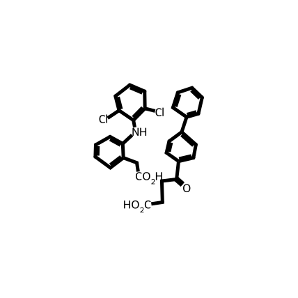 O=C(O)CCC(=O)c1ccc(-c2ccccc2)cc1.O=C(O)Cc1ccccc1Nc1c(Cl)cccc1Cl